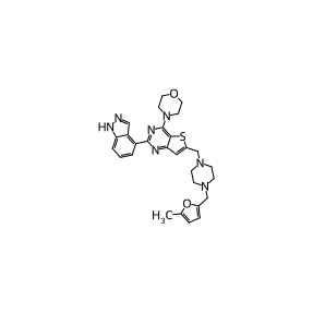 Cc1ccc(CN2CCN(Cc3cc4nc(-c5cccc6[nH]ncc56)nc(N5CCOCC5)c4s3)CC2)o1